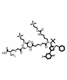 CC(C)(C)[C@H](c1cc(-c2cc(F)ccc2F)cn1Cc1ccccc1)N(CCCNC(=O)OCC[Si](C)(C)C)C(=O)CSCCC(=O)N[C@H](CNC(=O)CSC[C@H](N)C(=O)O)C(=O)OCC[Si](C)(C)C